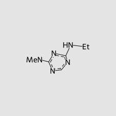 CCNc1ncnc(NC)n1